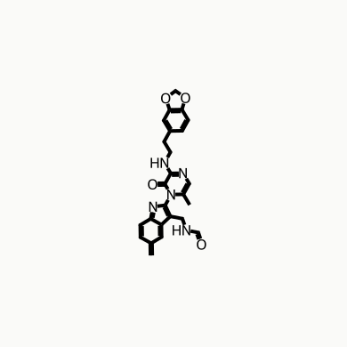 C=c1ccc2c(c1)C(CNC=O)=C(n1c(C)cnc(NCCc3ccc4c(c3)OCO4)c1=O)N=2